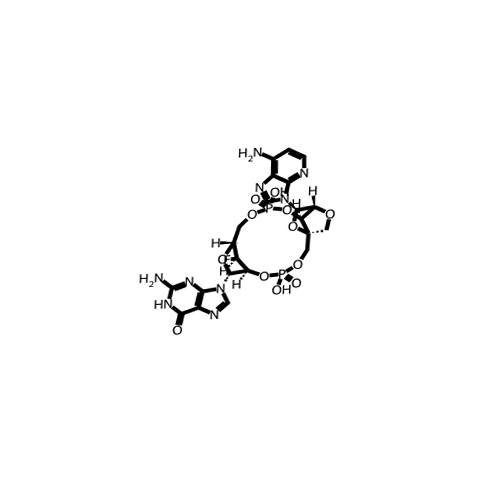 Nc1nc2c(ncn2[C@@H]2O[C@@H]3COP(=O)(O)O[C@H]4[C@H]5OC[C@]4(COP(=O)(O)O[C@@H]2[C@H]3F)O[C@H]5n2cnc3c(N)ccnc32)c(=O)[nH]1